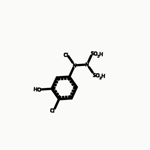 O=S(=O)(O)N(N(Cl)c1ccc(Cl)c(O)c1)S(=O)(=O)O